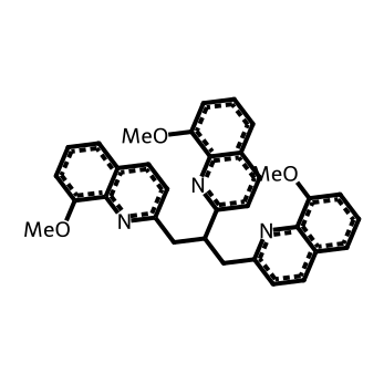 COc1cccc2ccc(CC(Cc3ccc4cccc(OC)c4n3)c3ccc4cccc(OC)c4n3)nc12